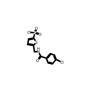 O=C(NCc1ccc(S(=O)(=O)Cl)s1)c1ccc(Cl)cc1